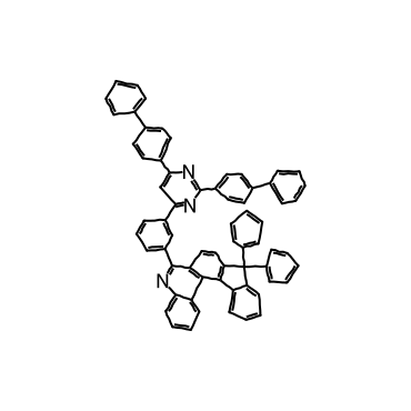 c1ccc(-c2ccc(-c3cc(-c4cccc(-c5nc6ccccc6c6c7c(ccc56)C(c5ccccc5)(c5ccccc5)c5ccccc5-7)c4)nc(-c4ccc(-c5ccccc5)cc4)n3)cc2)cc1